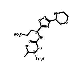 CC(O)[C@H](NC(=O)N[C@@H](CCC(=O)O)c1nc(C2COCCN2)no1)C(=O)O